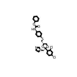 O=C(Nc1ccc(SC[C@@H]2CO[C@@](Cn3ccnc3)(c3ccc(Cl)cc3Cl)O2)cc1)Oc1ccccc1